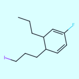 CCCC1C=C(F)C=CC1CCCI